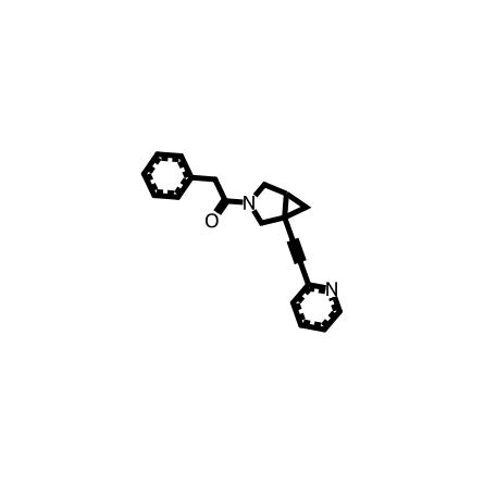 O=C(Cc1ccccc1)N1CC2CC2(C#Cc2ccccn2)C1